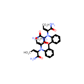 NC(=O)C(=CC(=O)O)N(C(=CC(=O)O)C(N)=O)c1ccccc1Cc1ccccc1N(C(=CC(=O)O)C(N)=O)C(=CC(=O)O)C(N)=O